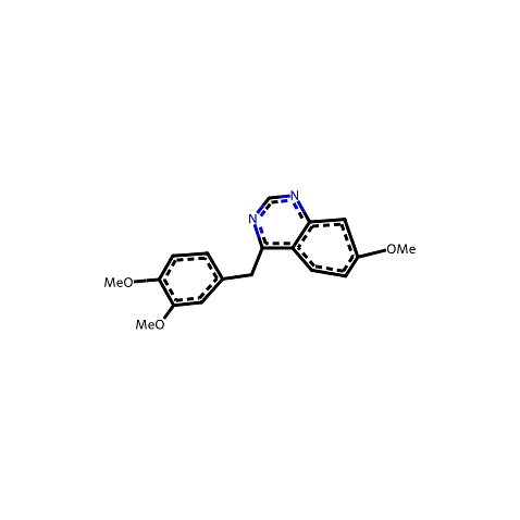 COc1ccc2c(Cc3ccc(OC)c(OC)c3)ncnc2c1